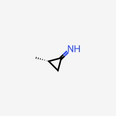 C[C@H]1CC1=N